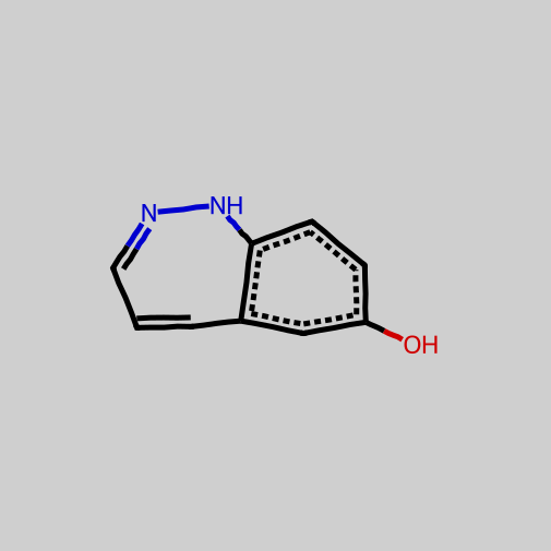 Oc1ccc2c(c1)C=CC=NN2